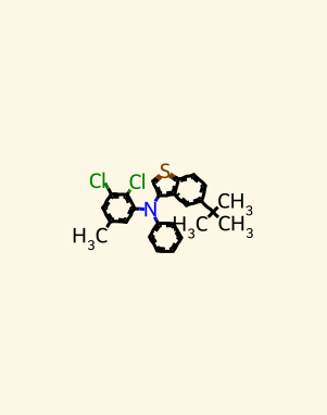 Cc1cc(Cl)c(Cl)c(N(c2ccccc2)c2csc3ccc(C(C)(C)C)cc23)c1